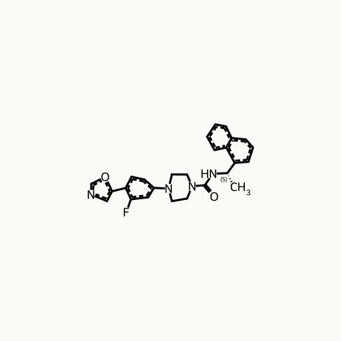 C[C@H](NC(=O)N1CCN(c2ccc(-c3cnco3)c(F)c2)CC1)c1cccc2ccccc12